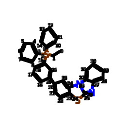 CCS(c1ccccc1)(c1ccccc1)c1cccc(-c2ccc3sc4nc5ccccc5n4c3c2)c1